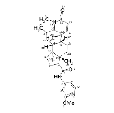 COc1cc(NC(=O)C2CC[C@H]3[C@@H]4CC(C)C5N(C)C(=O)C=C[C@]5(C)[C@@H]4CC[C@]23C)ccn1